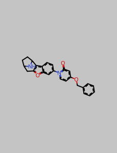 O=c1cc(OCc2ccccc2)ccn1-c1ccc2c3c(oc2c1)CC1CCC3N1